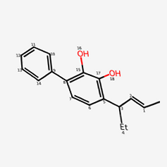 CC=CC(CC)c1ccc(-c2ccccc2)c(O)c1O